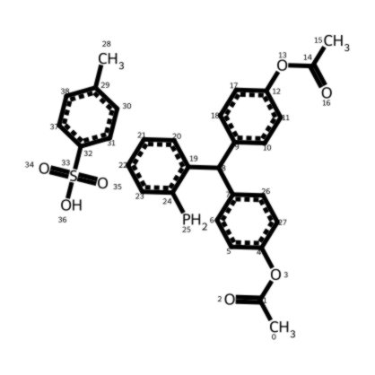 CC(=O)Oc1ccc(C(c2ccc(OC(C)=O)cc2)c2ccccc2P)cc1.Cc1ccc(S(=O)(=O)O)cc1